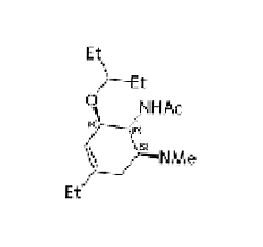 CCC1=C[C@@H](OC(CC)CC)[C@H](NC(C)=O)[C@@H](NC)C1